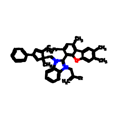 C=C(CC)C[n+]1c(-c2c(CCC)cc(C)c3c2oc2cc(C)c(C)cc23)n(CC2(C)C=C(c3ccccc3)C=C2C)c2ccccc21